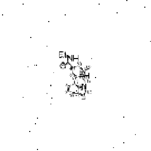 CCNC(=O)[C@@H]1C=C2c3cccc4ccn(c34)C[C@H]2N(C)C1